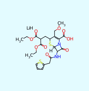 CCOC(=O)C(CC1S[C@@H]2C(NC(=O)Cc3cccs3)C(=O)N2C(C(=O)O)=C1COC)C(=O)OCC.[LiH]